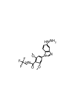 COc1cc(-n2cnc3cc(NN)ccc32)cc(OC)c1C(=O)NCC(F)(F)F